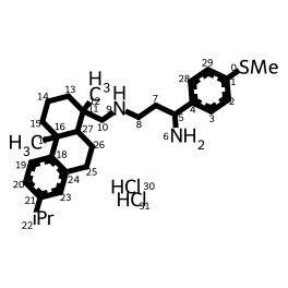 CSc1ccc(C(N)CCNCC2(C)CCCC3(C)c4ccc(C(C)C)cc4CCC23)cc1.Cl.Cl